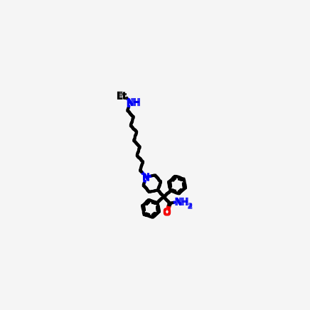 CCNCCCCCCCCCN1CCC(C(C(N)=O)(c2ccccc2)c2ccccc2)CC1